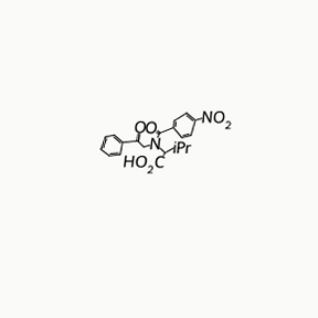 CC(C)C(C(=O)O)N(CC(=O)c1ccccc1)C(=O)c1ccc([N+](=O)[O-])cc1